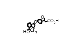 CC(O)(c1cccc2c1CC[C@H]2Oc1ccc2c(c1)OCC2CC(=O)O)C(F)(F)F